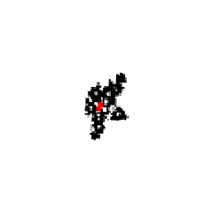 Cc1cc(C)c(-c2cc3nc(C(C)(C)C)ccc3c3nc(N(c4nc5c6ccc(C(C)(C)C)nc6cc(-c6c(C)cc(C)cc6C)n5c4C)c4c(C)cc(C)cc4C)c(C)n23)c(C)c1